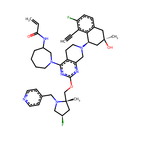 C#Cc1c(F)ccc2c1[C@H](N1CCc3c(nc(OC[C@]4(C)C[C@@H](F)CN4Cc4ccncc4)nc3N3CCCCC(NC(=O)C=C)C3)C1)C[C@](C)(O)C2